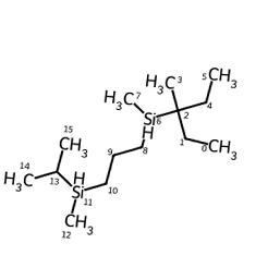 CCC(C)(CC)[SiH](C)CCC[SiH](C)C(C)C